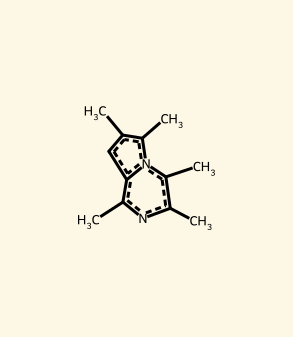 Cc1cc2c(C)nc(C)c(C)n2c1C